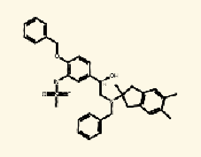 Cc1cc2c(cc1C)CC(C)(N(Cc1ccccc1)C[C@H](O)c1ccc(OCc3ccccc3)c(NS(C)(=O)=O)c1)C2